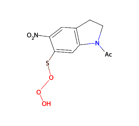 CC(=O)N1CCc2cc([N+](=O)[O-])c(SOOO)cc21